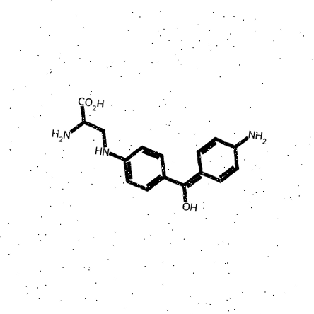 NC1C=CC(=C(O)c2ccc(NCC(N)C(=O)O)cc2)C=C1